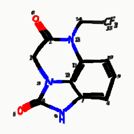 O=C1Cn2c(=O)[nH]c3cccc(c32)N1CC(F)(F)F